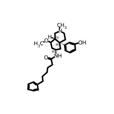 COC1C[C@H](NC(=O)CCCCCc2ccccc2)C[C@]2(c3cccc(O)c3)CCN(C)C[C@@H]12